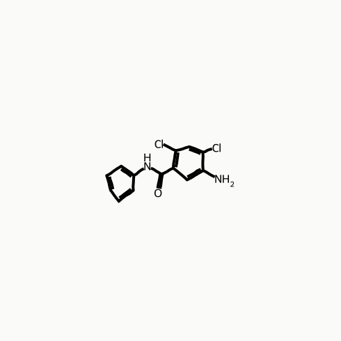 Nc1cc(C(=O)Nc2ccccc2)c(Cl)cc1Cl